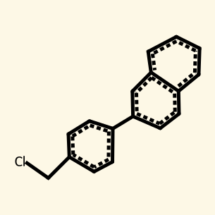 ClCc1ccc(-c2ccc3ccccc3c2)cc1